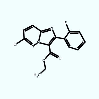 CCOC(=O)c1c(-c2ccccc2F)nc2ccc(Cl)nn12